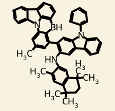 Cc1cc(-c2cc3c(cc2Nc2cc4c(cc2C)C(C)(C)CCC4(C)C)c2ccccc2n3-c2ccccc2)c2c(c1)-n1c3ccccc3c3cccc(c31)B2